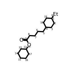 CCC1CCC(CCCCC(=O)OC2CCCCC2)CC1